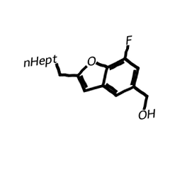 CCCCCCCCc1cc2cc(CO)cc(F)c2o1